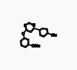 COc1cccc(Oc2cc(-c3ccc(C(C)(C)C)cc3)ncn2)c1